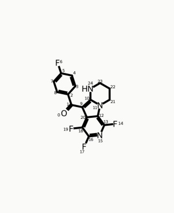 O=C(c1ccc(F)cc1)c1c2n(c3c(F)nc(F)c(F)c13)CCCN2